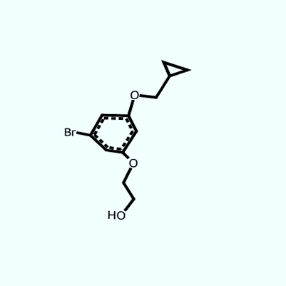 OCCOc1cc(Br)cc(OCC2CC2)c1